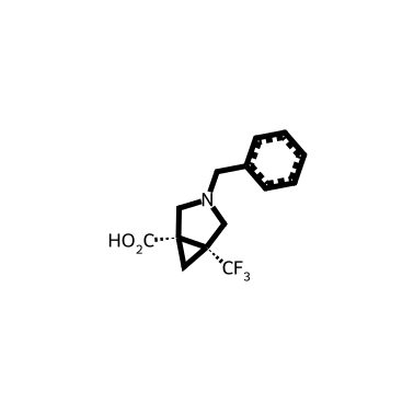 O=C(O)[C@]12CN(Cc3ccccc3)C[C@@]1(C(F)(F)F)C2